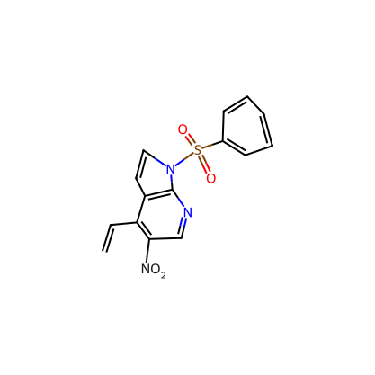 C=Cc1c([N+](=O)[O-])cnc2c1ccn2S(=O)(=O)c1ccccc1